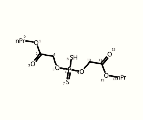 CCCOC(=O)COP(=S)(S)OCC(=O)OCCC